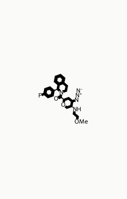 COCCN[C@@H]1CO[C@@H](C(=O)N2CCc3ccccc3[C@@H]2c2ccc(F)cc2)CC1N=[N+]=[N-]